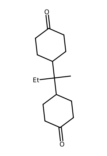 CCC(C)(C1CCC(=O)CC1)C1CCC(=O)CC1